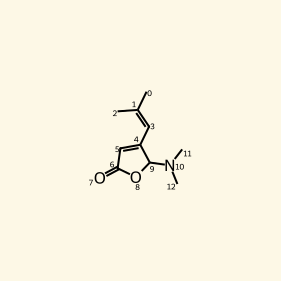 CC(C)=CC1=CC(=O)OC1N(C)C